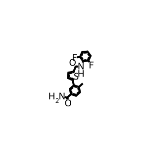 Cc1ccc(C(N)=O)cc1-c1ccc(C(=O)Nc2c(F)cccc2F)s1